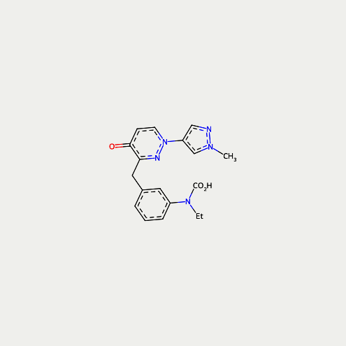 CCN(C(=O)O)c1cccc(Cc2nn(-c3cnn(C)c3)ccc2=O)c1